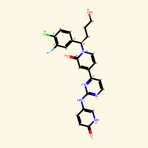 O=c1ccc(Nc2nccc(-c3ccn([C@H](CCCO)c4ccc(Cl)c(F)c4)c(=O)c3)n2)c[nH]1